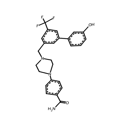 NC(=O)c1ccc(N2CCN(Cc3cc(-c4cccc(O)c4)cc(C(F)(F)F)c3)CC2)cc1